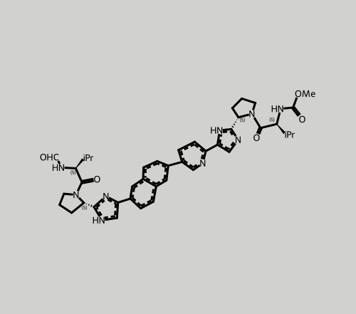 COC(=O)N[C@H](C(=O)N1CCC[C@H]1c1ncc(-c2ccc(-c3ccc4cc(-c5c[nH]c([C@@H]6CCCN6C(=O)[C@@H](NC=O)C(C)C)n5)ccc4c3)cn2)[nH]1)C(C)C